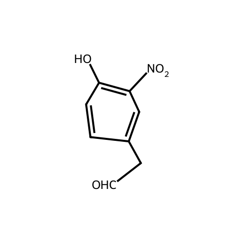 O=CCc1ccc(O)c([N+](=O)[O-])c1